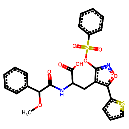 COC(C(=O)NC(Cc1c(OS(=O)(=O)c2ccccc2)noc1-c1cccs1)C(=O)O)c1ccccc1